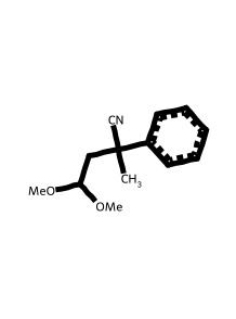 COC(CC(C)(C#N)c1ccccc1)OC